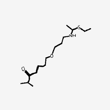 CCSC(C)NCCCOCCCCC(=O)C(C)C